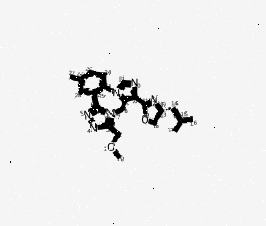 COCc1nnc2n1Cc1c(C3=N[C@H](CC(C)C)CO3)ncn1-c1ccc(C)cc1-2